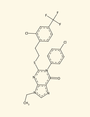 CCn1cnc2c(=O)n(-c3ccc(Cl)cc3)c(SCCc3ccc(C(F)(F)F)cc3Cl)nc21